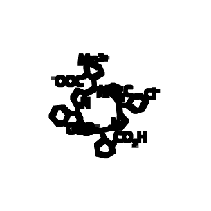 O=C([O-])c1ccccc1-c1c2nc(c(-c3ccccc3C(=O)[O-])c3ccc([nH]3)c(-c3ccccc3C(=O)O)c3nc(c(-c4ccccc4C(=O)O)c4ccc1[nH]4)C=C3)C=C2.[Cl-].[Mn+3]